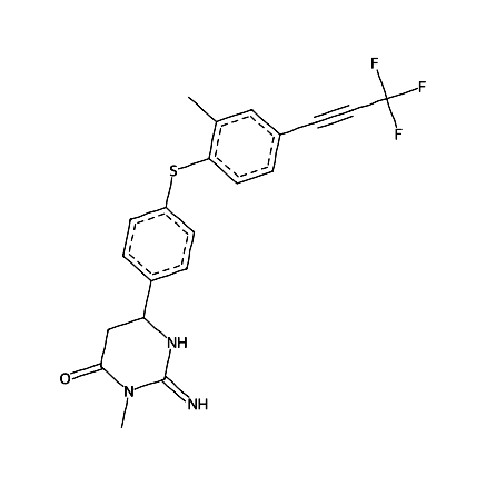 Cc1cc(C#CC(F)(F)F)ccc1Sc1ccc(C2CC(=O)N(C)C(=N)N2)cc1